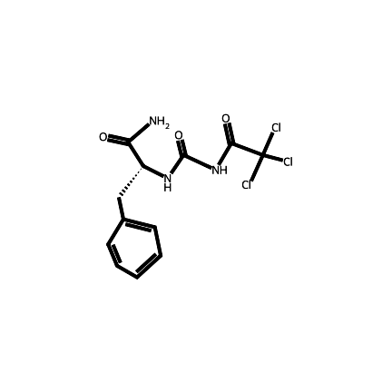 NC(=O)[C@@H](Cc1ccccc1)NC(=O)NC(=O)C(Cl)(Cl)Cl